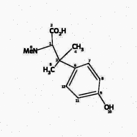 CNC(C(=O)O)C(C)(C)c1ccc(O)cc1